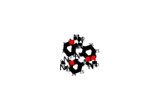 c1ccc(-n2cnnn2)c(N(c2ccccc2-n2cnnn2)c2ccccc2-n2cnnn2)c1